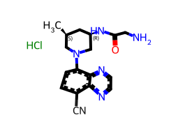 C[C@H]1C[C@@H](NC(=O)CN)CN(c2ccc(C#N)c3nccnc23)C1.Cl